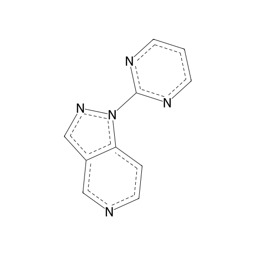 c1cnc(-n2ncc3cnccc32)nc1